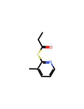 CCC(=O)Sc1ncccc1C